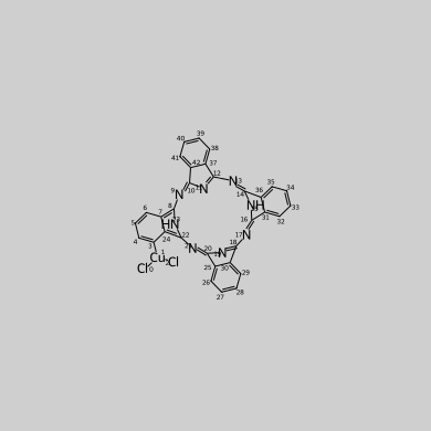 [Cl][Cu]([Cl])[c]1cccc2c3nc4nc(nc5[nH]c(nc6nc(nc([nH]3)c12)-c1ccccc1-6)c1ccccc51)-c1ccccc1-4